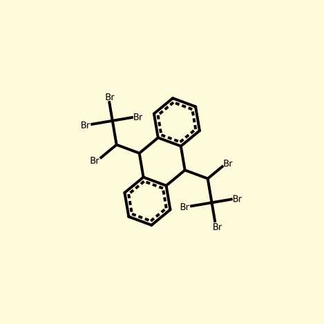 BrC(C1c2ccccc2C(C(Br)C(Br)(Br)Br)c2ccccc21)C(Br)(Br)Br